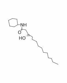 CCCCCCCCCCC[C@H](O)CC(=O)NC1CCCCC1